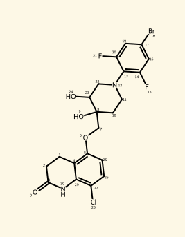 O=C1CCc2c(OCC3(O)CCN(c4c(F)cc(Br)cc4F)CC3O)ccc(Cl)c2N1